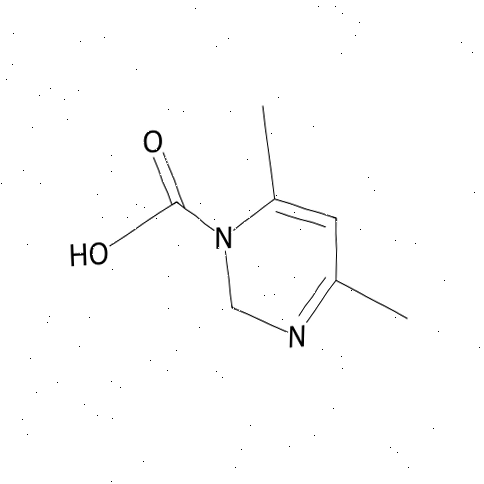 CC1=CC(C)=NCN1C(=O)O